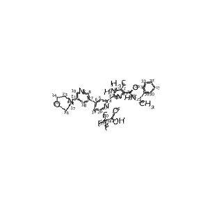 Cc1[nH]c(-c2cc(-c3cncc(N4CCOCC4)c3)ccn2)nc1C(=O)N[C@@H](C)c1ccccc1.O=C(O)C(F)(F)F